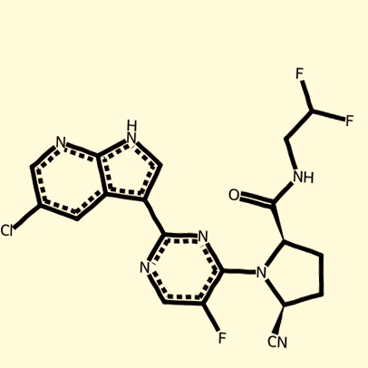 N#C[C@@H]1CC[C@H](C(=O)NCC(F)F)N1c1nc(-c2c[nH]c3ncc(Cl)cc23)ncc1F